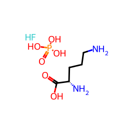 F.NCCC[C@H](N)C(=O)O.O=P(O)(O)O